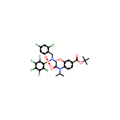 CC(C)N(C(=O)CN(Cc1ccc(F)cc1Cl)S(=O)(=O)c1c(F)c(F)c(F)c(F)c1F)c1ccc(C(=O)OC(C)(C)C)cc1O